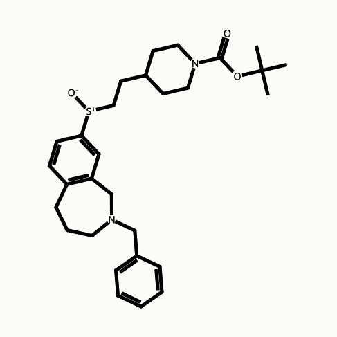 CC(C)(C)OC(=O)N1CCC(CC[S+]([O-])c2ccc3c(c2)CN(Cc2ccccc2)CCC3)CC1